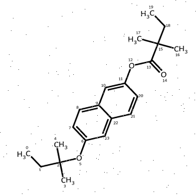 CCC(C)(C)Oc1ccc2cc(OC(=O)C(C)(C)CC)ccc2c1